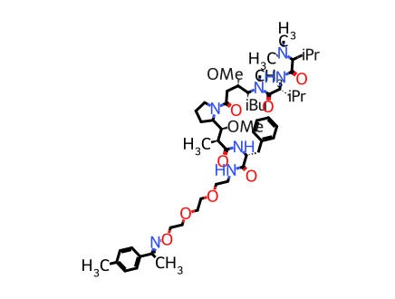 CC[C@@H](C)C([C@H](CC(=O)N1CCCC1[C@@H](OC)[C@H](C)C(=O)N[C@H](Cc1ccccc1)C(=O)NCCOCCOCCO/N=C(\C)c1ccc(C)cc1)OC)N(C)C(=O)[C@H](NC(=O)C(C(C)C)N(C)C)C(C)C